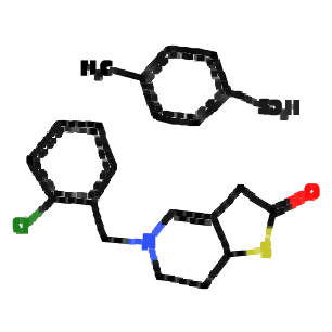 Cc1ccc(S(=O)(=O)O)cc1.O=C1CC2=CN(Cc3ccccc3Cl)CCC2S1